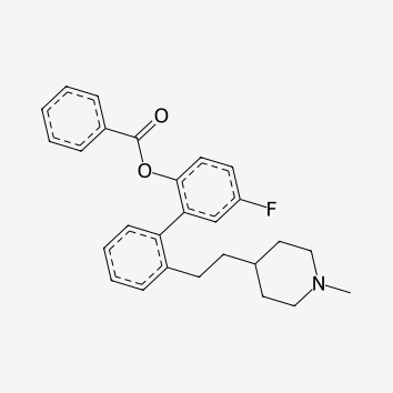 CN1CCC(CCc2ccccc2-c2cc(F)ccc2OC(=O)c2ccccc2)CC1